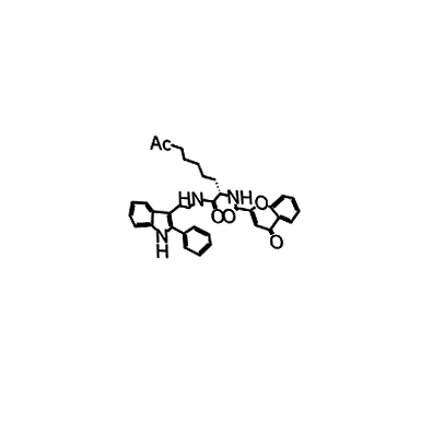 CC(=O)CCCCC[C@H](NC(=O)c1cc(=O)c2ccccc2o1)C(=O)NCCc1c(-c2ccccc2)[nH]c2ccccc12